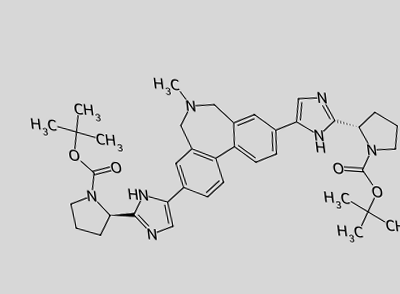 CN1Cc2cc(-c3cnc([C@H]4CCCN4C(=O)OC(C)(C)C)[nH]3)ccc2-c2ccc(-c3cnc([C@@H]4CCCN4C(=O)OC(C)(C)C)[nH]3)cc2C1